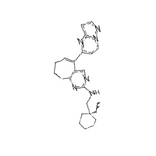 FC1(CNc2ncc3c(n2)CCCC=C3c2ccn3nccc3n2)CCCCC1